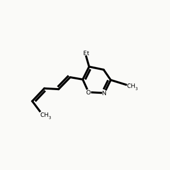 C/C=C\C=C\C1=C(CC)CC(C)=NO1